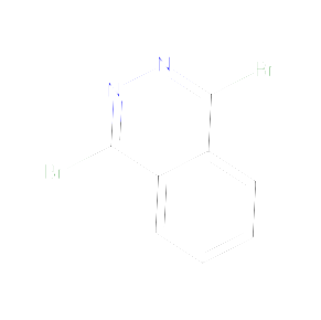 Brc1nnc(Br)c2ccccc12